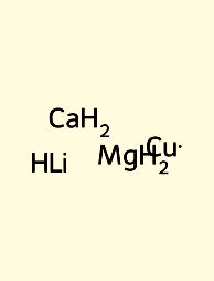 [CaH2].[Cu].[LiH].[MgH2]